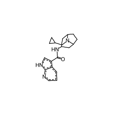 O=C(NC1CC2CCC(C1)N2CC1CC1)c1c[nH]c2ncccc12